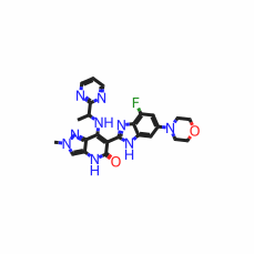 CC(Nc1c(-c2nc3c(F)cc(N4CCOCC4)cc3[nH]2)c(=O)[nH]c2cn(C)nc12)c1ncccn1